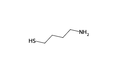 NCCCCS